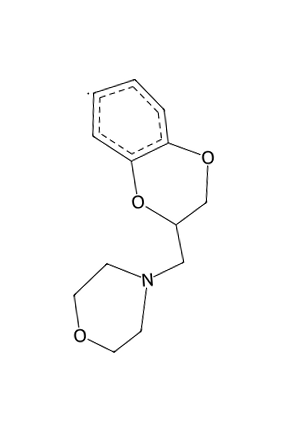 [c]1ccc2c(c1)OC(CN1CCOCC1)CO2